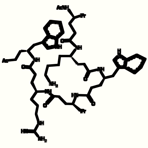 CC(=O)CC[C@H](Cc1c[nH]c2ccccc12)NC(=O)CC[C@H](CCCNC(=N)N)NC(=O)CC[C@@H](NC(=O)CC[C@H](Cc1c[nH]c2ccccc12)NC(=O)CC[C@H](CCCCN)NC(=O)CC[C@@H](NC(C)=O)C(C)C)C(C)C